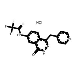 Cl.O=C(Nc1ccc2c(Cc3ccncc3)n[nH]c(=O)c2c1)C(F)(F)F